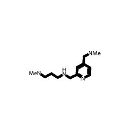 CNCCCNCc1cc(CNC)ccn1